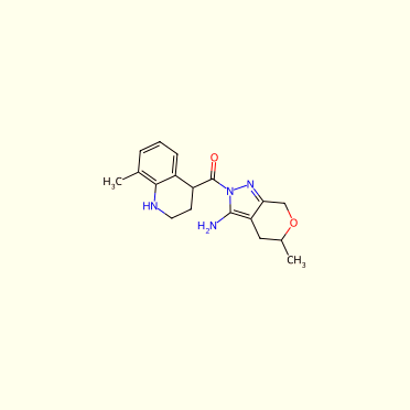 Cc1cccc2c1NCCC2C(=O)n1nc2c(c1N)CC(C)OC2